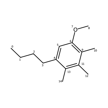 CCCCc1cc(OC)c(C)c(C)c1C